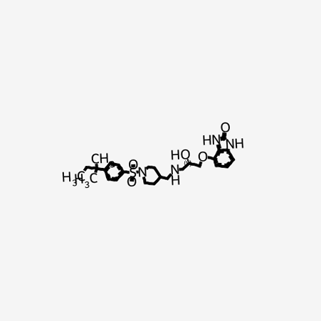 CCC(C)(C)c1ccc(S(=O)(=O)N2CCC(CNC[C@H](O)COc3cccc4[nH]c(=O)[nH]c34)CC2)cc1